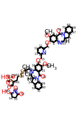 COc1cc2c(cc1OCc1cccc(COc3cc4c(cc3OC)C(=O)N3c5ccccc5C[C@H]3CN4CC(C)(C)SSCCC(C(=O)ON3C(=O)CCC3O)S(=O)(=O)O)n1)N=C[C@@H]1Cc3ccccc3N1C2=O